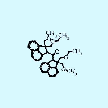 CCOCC1(COC)c2cccc3cccc(c23)C1C(=O)C1c2cccc3cccc(c23)C1(COC)COCC